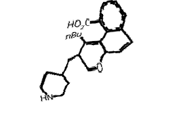 CCCCC1=C2c3c(cccc3C(=O)O)C=CC2OCC1CC1CCNCC1